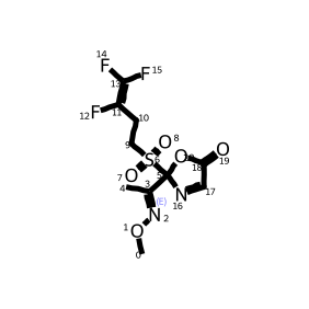 CO/N=C(\C)C1(S(=O)(=O)CCC(F)=C(F)F)N=CC(=O)O1